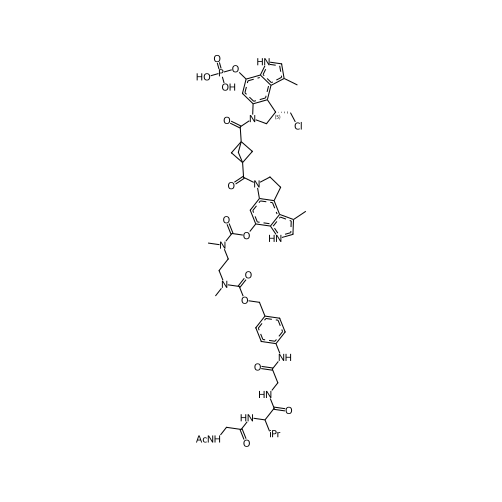 CC(=O)NCC(=O)NC(C(=O)NCC(=O)Nc1ccc(COC(=O)N(C)CCN(C)C(=O)Oc2cc3c(c4c(C)c[nH]c24)CCN3C(=O)C23CC(C(=O)N4C[C@@H](CCl)c5c4cc(OP(=O)(O)O)c4[nH]cc(C)c54)(C2)C3)cc1)C(C)C